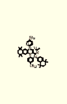 Cc1nc2c3c(n1)N(c1ccc(C(C)(C)C)cn1)c1cc4c(cc1B3c1ccc(C(C)(C)C)cc1N2c1ccc2c(c1)C(C)(C)CCC2(C)C)C(C)(C)CCC4(C)C